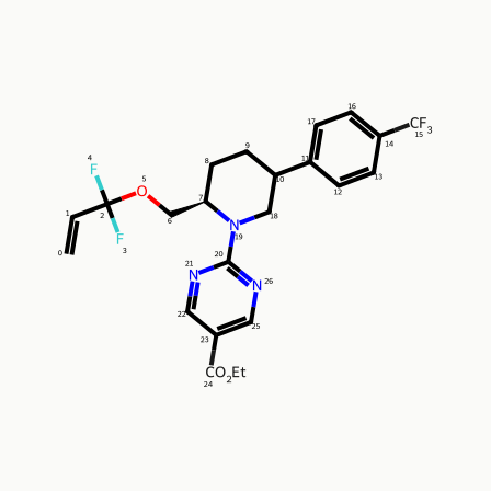 C=CC(F)(F)OC[C@H]1CCC(c2ccc(C(F)(F)F)cc2)CN1c1ncc(C(=O)OCC)cn1